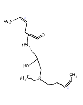 C/C=C\CCN(CC)CC(O)CNC(=O)C/C=C\C